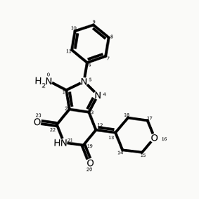 Nc1c2c(nn1-c1ccccc1)C(=C1CCOCC1)C(=O)NC2=O